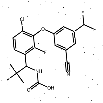 CC(C)(C)C(NC(=O)O)c1ccc(Cl)c(Oc2cc(C#N)cc(C(F)F)c2)c1F